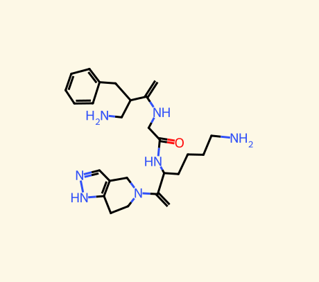 C=C(NCC(=O)NC(CCCCN)C(=C)N1CCc2[nH]ncc2C1)C(CN)Cc1ccccc1